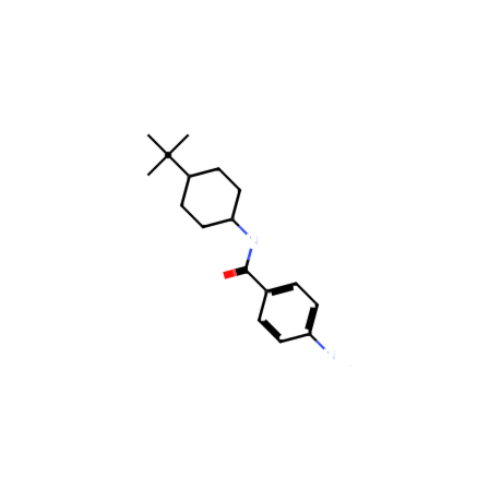 CC(C)(C)C1CCC(NC(=O)c2ccc(N)cc2)CC1